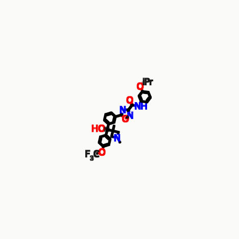 CC(C)Oc1cccc(NC(=O)c2noc(-c3cccc([C@@](O)(c4ccc(OC(F)(F)F)cc4)C4(C)CN(C)C4)c3)n2)c1